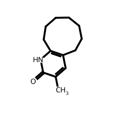 Cc1cc2c([nH]c1=O)CCCCCCC2